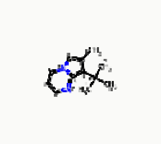 Cc1cn2cccnc2c1C(C)(C)C